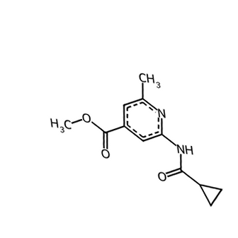 COC(=O)c1cc(C)nc(NC(=O)C2CC2)c1